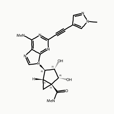 CNC(=O)[C@@]12C[C@@H]1[C@@H](n1cnc3c(NC)nc(C#Cc4cnn(C)c4)nc31)[C@H](O)[C@@H]2O